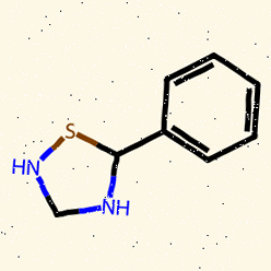 c1ccc(C2NCNS2)cc1